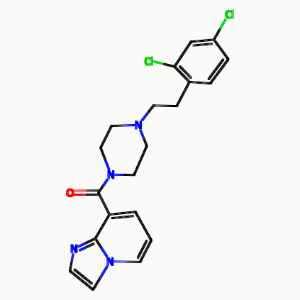 O=C(c1cccn2ccnc12)N1CCN(CCc2ccc(Cl)cc2Cl)CC1